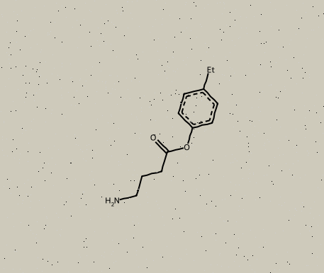 CCc1ccc(OC(=O)CCCN)cc1